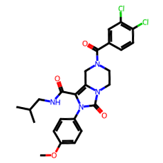 COc1ccc(-n2c(C(=O)NCC(C)C)c3n(c2=O)CCN(C(=O)c2ccc(Cl)c(Cl)c2)C3)cc1